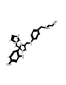 OCCNCc1ccc(OCC2COC(Cn3ccnc3)(c3ccc(Cl)cc3Cl)O2)cc1